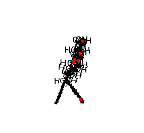 CCCCCCCCCCCCC/C=C/[C@@H](O)[C@H](CO[C@@H]1OC(CO)[C@@H](O[C@@H]2OC(CO)[C@H](O[C@@H]3OC(CO)[C@H](O)[C@H](O[C@@H]4OC(CO)[C@H](O)[C@H](O[C@@H]5OC(CO)[C@H](O)[C@H](O[C@H]6OC(CO)[C@H](O)[C@H](O)C6NC(C)=O)C5O)C4NC(C)=O)C3O)[C@H](O)C2O)[C@H](O)C1O)NC(=O)CCCCCCCCCCCCCCC